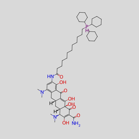 CN(C)c1cc(NC(=O)CCCCCCCCCCC[PH](C2CCCCC2)(C2CCCCC2)C2CCCCC2)c(O)c2c1C[C@H]1C[C@H]3[C@H](N(C)C)C(O)=C(C(N)=O)C(=O)[C@@]3(O)C(O)=C1C2=O